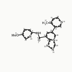 COc1ccc(NC(=O)c2cc(-c3cnccc3C)cn3cnnc23)nc1